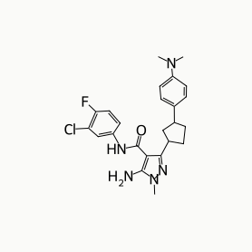 CN(C)c1ccc(C2CCC(c3nn(C)c(N)c3C(=O)Nc3ccc(F)c(Cl)c3)C2)cc1